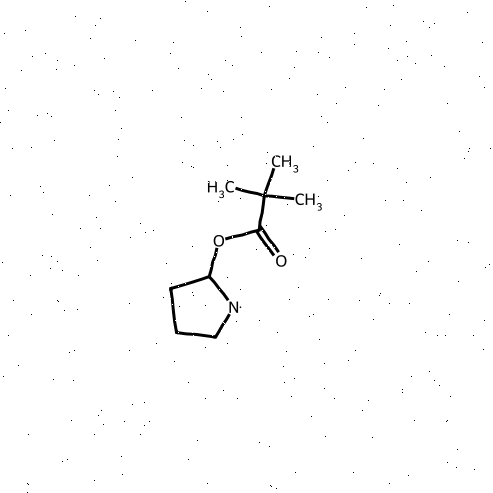 CC(C)(C)C(=O)OC1CCC[N]1